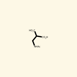 CC(=O)NCC(C(=O)O)C(=O)O